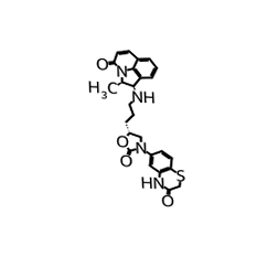 C[C@@H]1[C@@H](NCCC[C@@H]2CN(c3ccc4c(c3)NC(=O)CS4)C(=O)O2)c2cccc3ccc(=O)n1c23